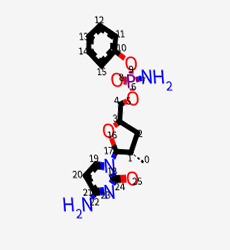 C[C@H]1CC(COP(N)(=O)Oc2ccccc2)OC1n1ccc(N)nc1=O